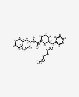 CCOCCCO[C@@H](c1ccccc1)[C@@H]1CCCN(C(=O)N[C@H](CN)CC2CCCCC2)C1